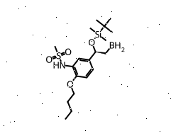 BC[C@H](O[Si](C)(C)C(C)(C)C)c1ccc(OCCCC)c(NS(C)(=O)=O)c1